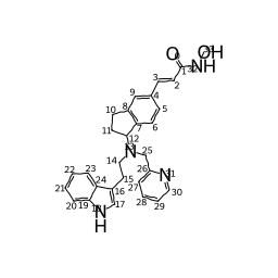 O=C(C=Cc1ccc2c(c1)CCC2N(CCc1c[nH]c2ccccc12)Cc1ccccn1)NO